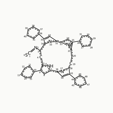 S=C=Nc1cc2[nH]c(cc2-c2ccccc2)c2nc(ccc3[nH]c(cc3-c3ccccc3)c3nc1C(c1ccccc1)=C3)C(c1ccccc1)=C2